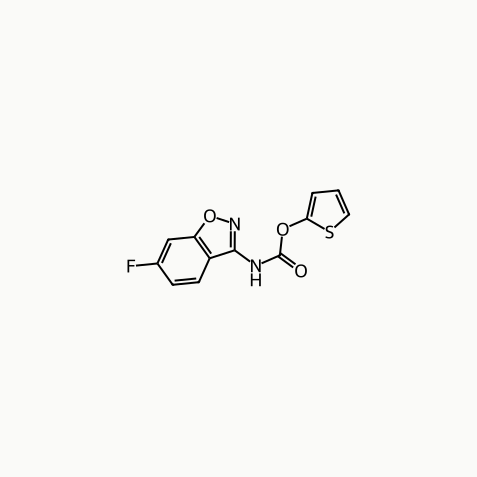 O=C(Nc1noc2cc(F)ccc12)Oc1cccs1